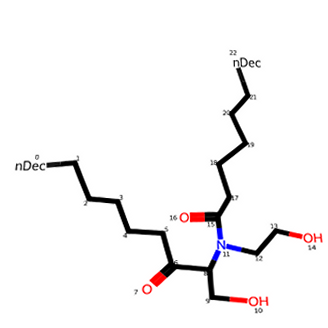 CCCCCCCCCCCCCCCC(=O)C(CO)N(CCO)C(=O)CCCCCCCCCCCCCCC